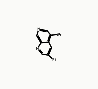 CCc1cnc2cncc(C(C)C)c2c1